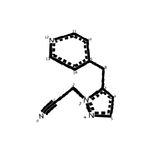 N#CCn1nccc1Cc1ccncc1